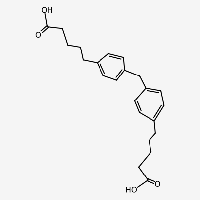 O=C(O)CCCCc1ccc(Cc2ccc(CCCCC(=O)O)cc2)cc1